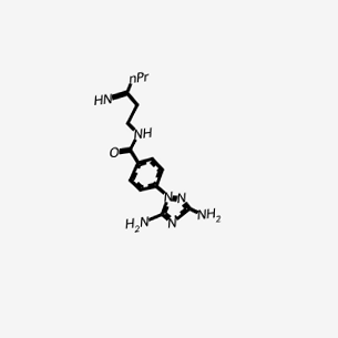 CCCC(=N)CCNC(=O)c1ccc(-n2nc(N)nc2N)cc1